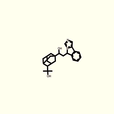 CC(C)(O)C1C2CC3CC1CC(C(O)CC1c4ccccc4-c4cncn41)(C3)C2